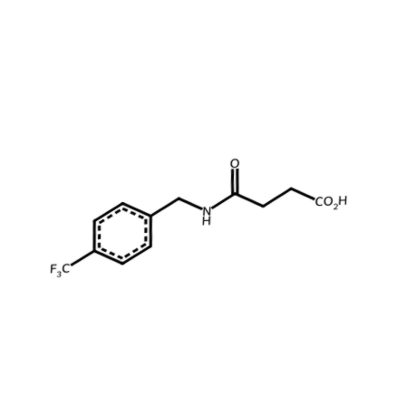 O=C(O)CCC(=O)NCc1ccc(C(F)(F)F)cc1